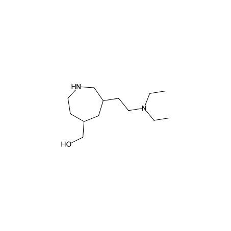 CCN(CC)CCC1CNCCC(CO)C1